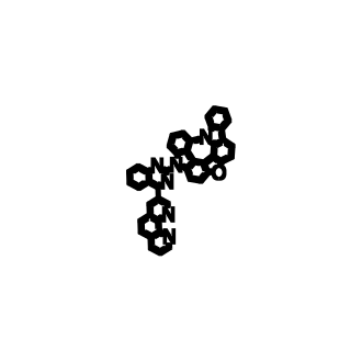 c1cnc2c(c1)ccc1cc(-c3nc(-n4c5ccc6oc7ccc8c9ccccc9n9c%10cccc4c%10c5c6c7c89)nc4ccccc34)cnc12